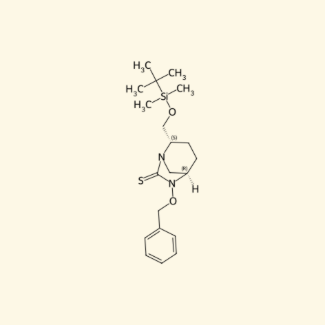 CC(C)(C)[Si](C)(C)OC[C@@H]1CC[C@@H]2CN1C(=S)N2OCc1ccccc1